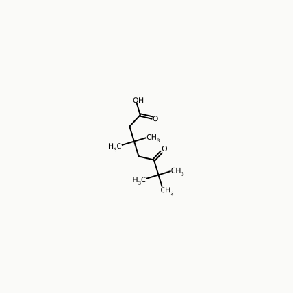 CC(C)(CC(=O)O)CC(=O)C(C)(C)C